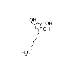 CCCCCCCCc1cc(CO)cc(CO)c1O